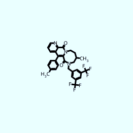 Cc1ccc(-c2c3n(c(=O)c4ncccc24)CCC(C)CN(Cc2cc(C(F)(F)F)cc(C(F)(F)F)c2)C3=O)cc1